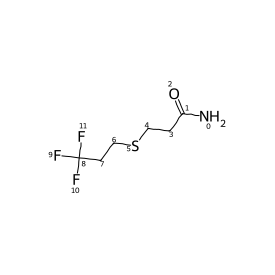 NC(=O)CCSCCC(F)(F)F